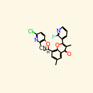 Cc1cc([C@@H](C)Oc2ccc(Cl)nc2C#N)c2oc(-c3cccnc3F)c(C)c(=O)c2c1